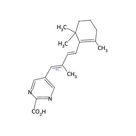 CC1=C(C=C/C(C)=C/c2cnc(C(=O)O)nc2)C(C)(C)CCC1